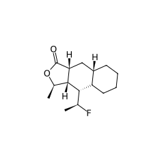 C[C@H](F)[C@H]1C2CCCC[C@H]2C[C@H]2C(=O)O[C@H](C)[C@@H]12